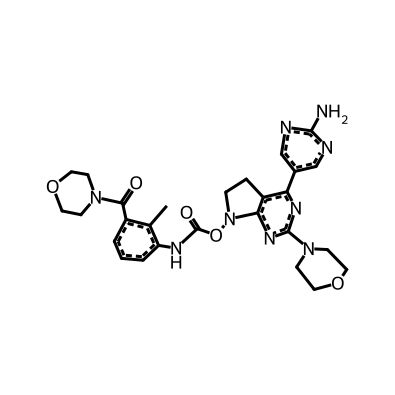 Cc1c(NC(=O)ON2CCc3c(-c4cnc(N)nc4)nc(N4CCOCC4)nc32)cccc1C(=O)N1CCOCC1